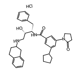 Cl.O=C(N[C@@H](Cc1ccccc1)[C@@H](O)CNC1CCc2ccccc2C1)c1cc(C2CCCC2)cc(N2CCCC2=O)c1